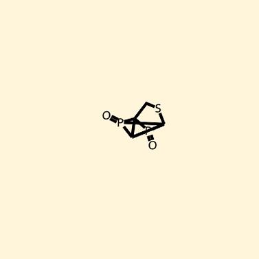 O=P12C34CSC15C32P45=O